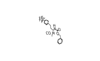 O=C(NC(CCc1ccc(S(F)(F)(F)(F)F)cc1)C(=O)O)OCc1ccccc1